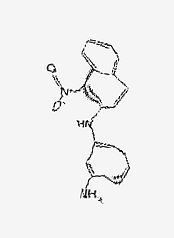 Nc1cccc(Nc2ccc3ccccc3c2[N+](=O)[O-])c1